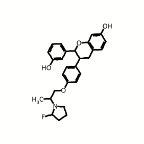 CC(COc1ccc(C2Cc3ccc(O)cc3OC2c2cccc(O)c2)cc1)N1CCCC1F